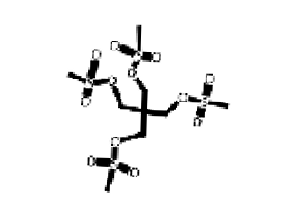 CS(=O)(=O)OCC(COS(C)(=O)=O)(COS(C)(=O)=O)COS(C)(=O)=O